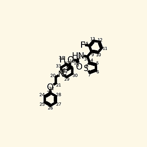 O=C(NC(c1cccs1)c1ccccc1F)O[C@H]1C[N+]2(CCOc3ccccc3)CCC1CC2